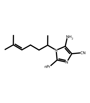 CCCc1nc(C#N)c(N)n1C(C)CCC=C(C)C